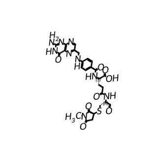 CN1C(=O)CC(SC[C@@H](C=O)NC(=O)CC[C@H](NC(=O)c2ccc(NCc3cnc4nc(N)[nH]c(=O)c4n3)cc2)C(=O)O)C1=O